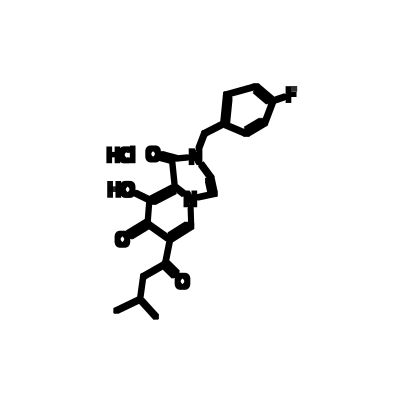 CC(C)CC(=O)c1cn2ccn(Cc3ccc(F)cc3)c(=O)c2c(O)c1=O.Cl